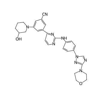 N#Cc1cc(-c2ccnc(Nc3ccc(-n4cnc(N5CCOCC5)n4)cc3)n2)cc(N2CCCC(O)C2)c1